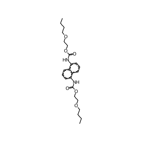 CCCCOCCOC(=O)Nc1cccc2c(NC(=O)OCCOCCCC)cccc12